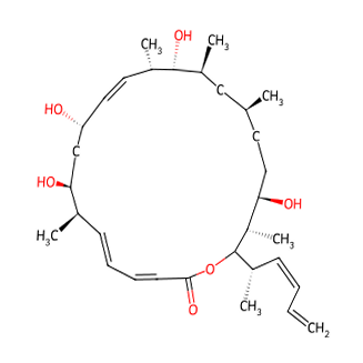 C=C/C=C\[C@H](C)C1OC(=O)/C=C\C=C\[C@@H](C)[C@@H](O)C[C@H](O)/C=C\[C@H](C)[C@H](O)[C@@H](C)C[C@@H](C)CC[C@@H](O)[C@@H]1C